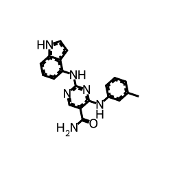 Cc1cccc(Nc2nc(Nc3cccc4[nH]ccc34)ncc2C(N)=O)c1